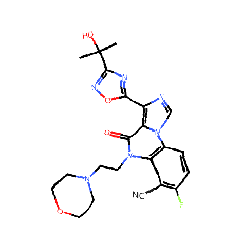 CC(C)(O)c1noc(-c2ncn3c2c(=O)n(CCN2CCOCC2)c2c(C#N)c(F)ccc23)n1